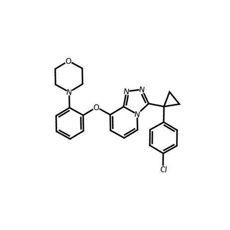 Clc1ccc(C2(c3nnc4c(Oc5ccccc5N5CCOCC5)cccn34)CC2)cc1